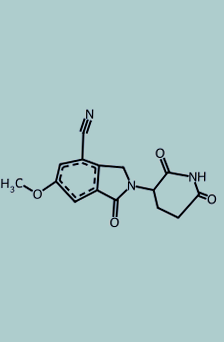 COc1cc(C#N)c2c(c1)C(=O)N(C1CCC(=O)NC1=O)C2